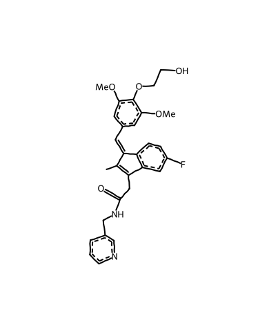 COc1cc(/C=C2/C(C)=C(CC(=O)NCc3cccnc3)c3cc(F)ccc32)cc(OC)c1OCCO